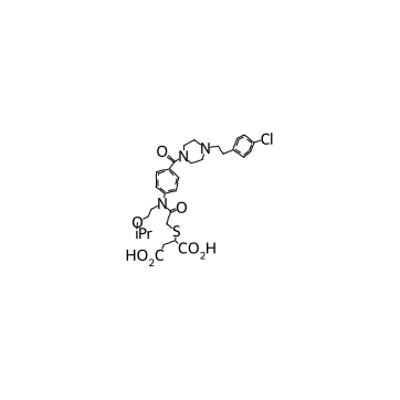 CC(C)OCCN(C(=O)CSC(CC(=O)O)C(=O)O)c1ccc(C(=O)N2CCN(CCc3ccc(Cl)cc3)CC2)cc1